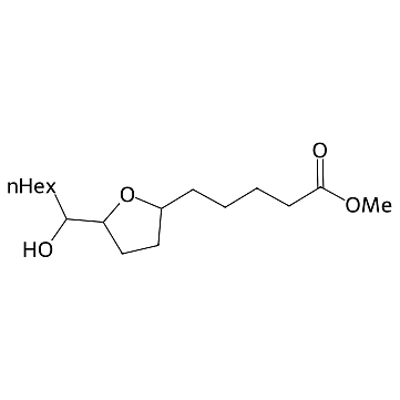 CCCCCCC(O)C1CCC(CCCCC(=O)OC)O1